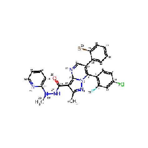 Cc1nn2c(-c3ccc(Cl)cc3F)c(-c3ccccc3Br)cnc2c1C(=O)NN(C)c1ccccn1